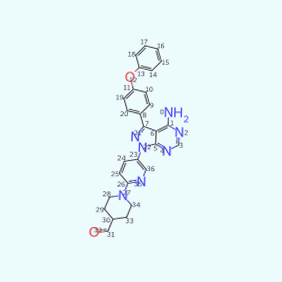 Nc1ncnc2c1c(-c1ccc(Oc3ccccc3)cc1)nn2-c1ccc(N2CCC(C=O)CC2)nc1